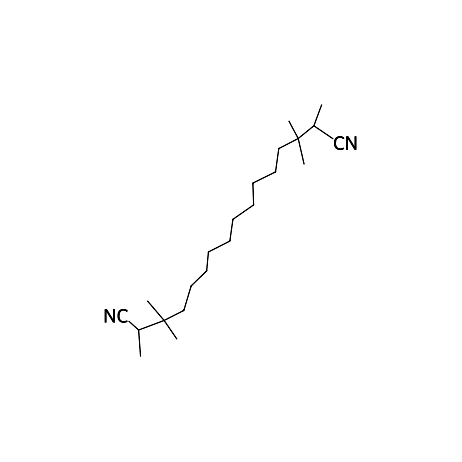 CC(C#N)C(C)(C)CCCCCCCCCCC(C)(C)C(C)C#N